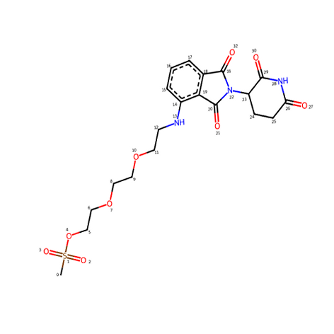 CS(=O)(=O)OCCOCCOCCNc1cccc2c1C(=O)N(C1CCC(=O)NC1=O)C2=O